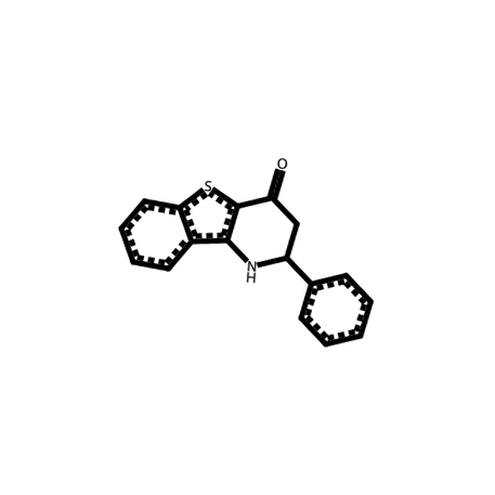 O=C1CC(c2ccccc2)Nc2c1sc1ccccc21